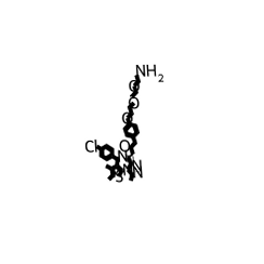 Cc1sc2c(c1C)C(c1ccc(Cl)cc1)=N[C@@H](CC(=O)Cc1ccc(OCCOCCOCCN)cc1)c1nnc(C)n1-2